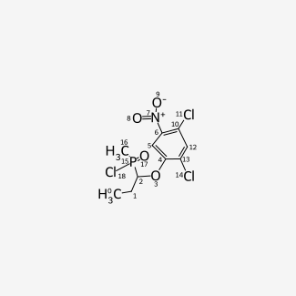 CCC(Oc1cc([N+](=O)[O-])c(Cl)cc1Cl)P(C)(=O)Cl